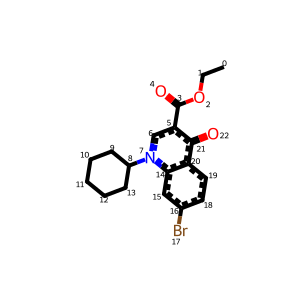 CCOC(=O)c1cn(C2CCCCC2)c2cc(Br)ccc2c1=O